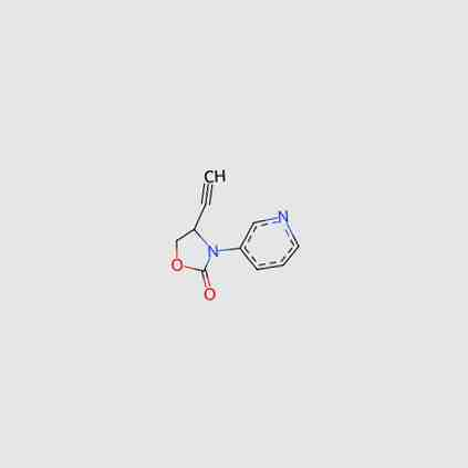 C#CC1COC(=O)N1c1cccnc1